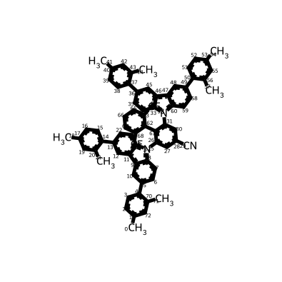 Cc1ccc(-c2ccc3c(c2)c2cc(-c4ccc(C)cc4C)ccc2n3-c2cc(C#N)cc(-n3c4ccc(-c5ccc(C)cc5C)cc4c4cc(-c5ccc(C)cc5C)ccc43)c2-c2c(C(F)(F)F)cccc2C(F)(F)F)c(C)c1